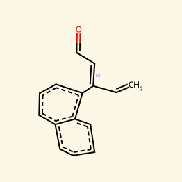 C=C/C(=C/[C]=O)c1cccc2ccccc12